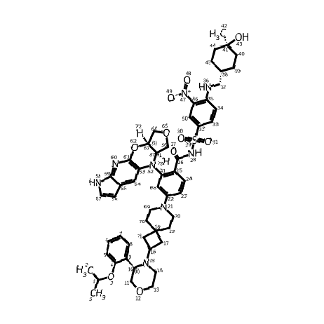 CC(C)Oc1ccccc1[C@@H]1COCCN1C1CC2(CCN(c3ccc(C(=O)NS(=O)(=O)c4ccc(NC[C@H]5CC[C@](C)(O)CC5)c([N+](=O)[O-])c4)c(N4c5cc6cc[nH]c6nc5O[C@@H]5COC[C@H]54)c3)CC2)C1